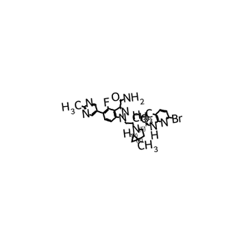 Cc1ncc(-c2ccc3c(c(C(N)=O)nn3CC(C)N3[C@H](C(=O)Nc4nc(Br)ccc4C)C[C@@]4(C)C[C@@H]34)c2F)cn1